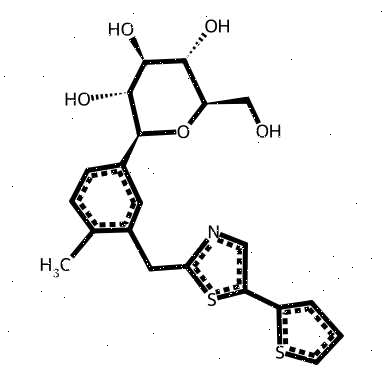 Cc1ccc([C@@H]2O[C@H](CO)[C@@H](O)[C@H](O)[C@H]2O)cc1Cc1ncc(-c2cccs2)s1